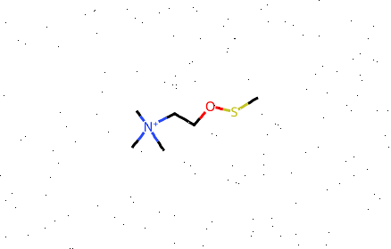 CSOCC[N+](C)(C)C